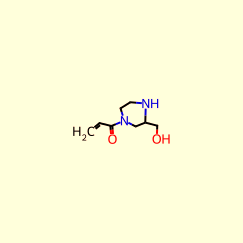 C=CC(=O)N1CCNC(CO)C1